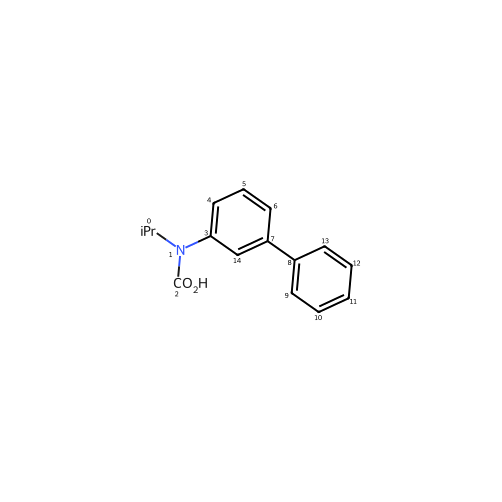 CC(C)N(C(=O)O)c1cccc(-c2ccccc2)c1